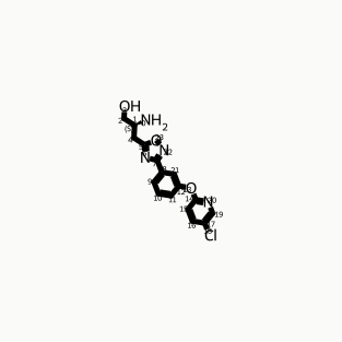 N[C@H](CO)Cc1nc(-c2cccc(Oc3ccc(Cl)cn3)c2)no1